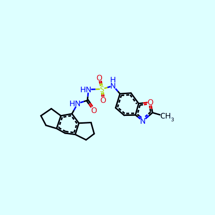 Cc1nc2ccc(NS(=O)(=O)NC(=O)Nc3c4c(cc5c3CCC5)CCC4)cc2o1